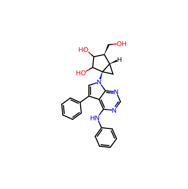 OC[C@@H]1C(O)C(O)[C@@]2(n3cc(-c4ccccc4)c4c(Nc5ccccc5)ncnc43)C[C@@H]12